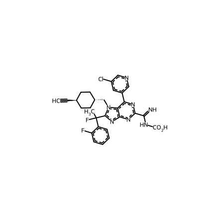 C#C[C@H]1CC[C@H](Cn2c(C(C)(F)c3ccccc3F)nc3nc(C(=N)NC(=O)O)nc(-c4cncc(Cl)c4)c32)CC1